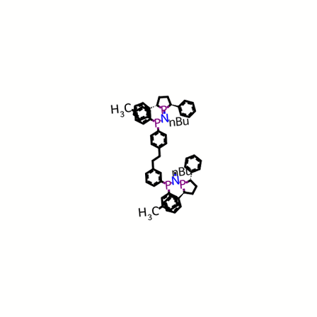 CCCCN(P(c1ccc(C)cc1)c1ccc(CCc2cccc(P(c3cccc(C)c3)N(CCCC)P3[C@H](c4ccccc4)CC[C@H]3c3ccccc3)c2)cc1)P1[C@H](c2ccccc2)CC[C@H]1c1ccccc1